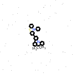 CC1(C)c2ccccc2-n2c3ccc(-c4ccc5c(c4)N(c4ccccc4)c4ccccc4S5)cc3c3cccc1c32